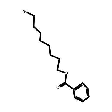 O=C(OCCCCCCCCBr)c1ccccc1